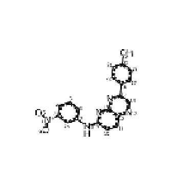 O=[N+]([O-])c1cccc(Nc2ccc3ncc(-c4ccc(O)cc4)nc3n2)c1